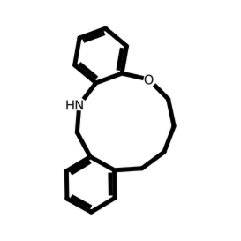 c1ccc2c(c1)CCCCOc1ccccc1NC2